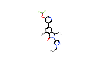 Cc1cc(-c2cncc(OC(F)F)c2)cc2c1C(=O)N(c1cnn(CC(F)(F)F)c1)C2C